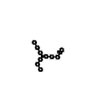 c1ccc(-c2ccc(-c3ccc(N(c4ccc(-c5ccc(-c6cccc(-c7cc8ccccc8o7)c6)cc5)cc4)c4ccc(-c5cccc(-c6ccccc6)c5)cc4)cc3)cc2)cc1